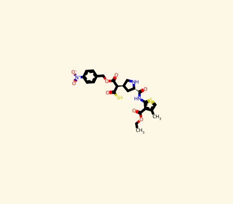 CCOC(=O)c1c(C)csc1NC(=O)[C@@H]1C[C@@H](C(C(=O)S)C(=O)OCc2ccc([N+](=O)[O-])cc2)CN1